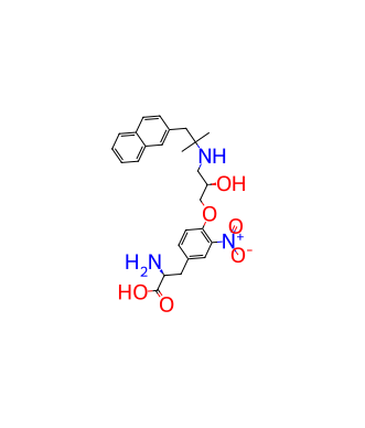 CC(C)(Cc1ccc2ccccc2c1)NC[C@@H](O)COc1ccc(C[C@H](N)C(=O)O)cc1[N+](=O)[O-]